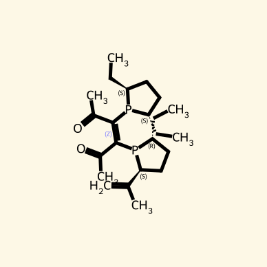 C=C(C)[C@@H]1CC[C@@H](CC)P1/C(C(C)=O)=C(/C(C)=O)P1[C@@H](CC)CC[C@@H]1CC